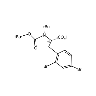 CC(C)(C)OC(=O)N([C@@H](Cc1ccc(Br)cc1Br)C(=O)O)C(C)(C)C